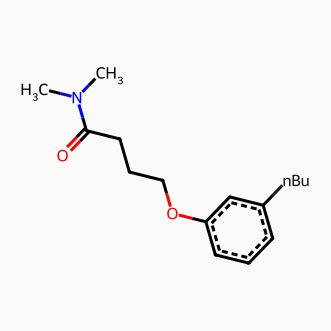 CCCCc1cccc(OCCCC(=O)N(C)C)c1